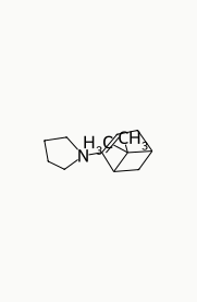 CC1(C)C2CC=C(N3CCCC3)C1C2